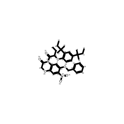 CCC(Oc1ccc(C(C)(C)CC)cc1C(C)(C)CC)C(=O)N1C(=O)COc2cc([N+](=O)[O-])c(OCc3ccccc3)cc21